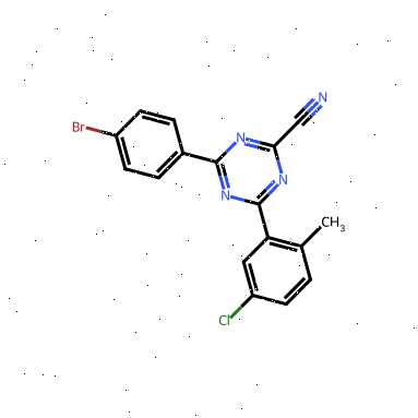 Cc1ccc(Cl)cc1-c1nc(C#N)nc(-c2ccc(Br)cc2)n1